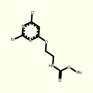 CCc1nc(Cl)cc(OCCNC(=O)OC(C)(C)C)n1